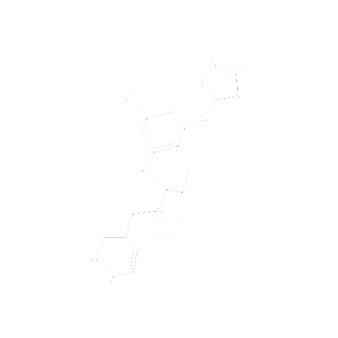 CS(=O)(=O)N(Cc1ccccc1)C1COc2c(cc(C#N)cc2Nc2cnc[nH]2)C1